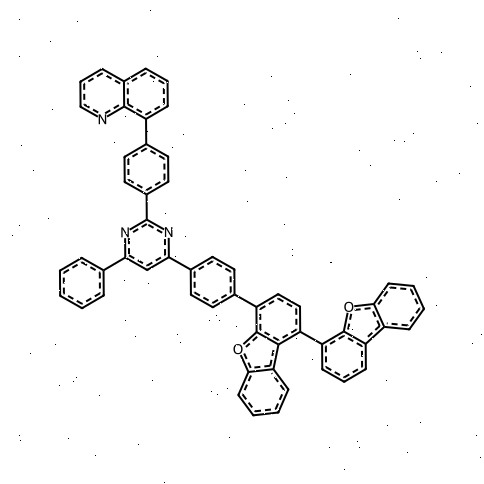 c1ccc(-c2cc(-c3ccc(-c4ccc(-c5cccc6c5oc5ccccc56)c5c4oc4ccccc45)cc3)nc(-c3ccc(-c4cccc5cccnc45)cc3)n2)cc1